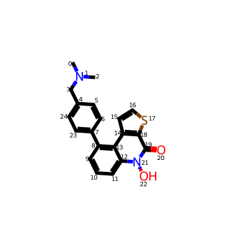 CN(C)Cc1ccc(-c2cccc3c2c2ccsc2c(=O)n3O)cc1